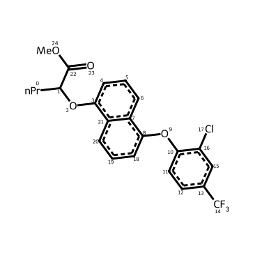 CCCC(Oc1cccc2c(Oc3ccc(C(F)(F)F)cc3Cl)cccc12)C(=O)OC